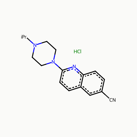 CC(C)N1CCN(c2ccc3cc(C#N)ccc3n2)CC1.Cl